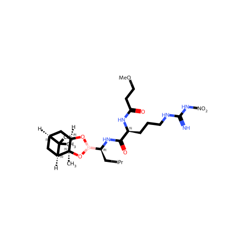 COCCC(=O)N[C@@H](CCCNC(=N)N[N+](=O)[O-])C(=O)N[C@@H](CC(C)C)B1O[C@@H]2C[C@@H]3C[C@@H](C3(C)C)[C@]2(C)O1